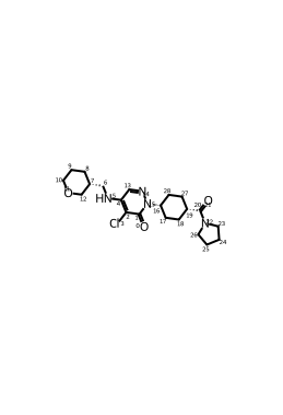 O=c1c(Cl)c(NC[C@H]2CCCOC2)cnn1[C@H]1CC[C@@H](C(=O)N2CCCC2)CC1